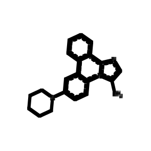 Bc1cnc2c3ccccc3c3cc(N4CCCCC4)ccc3n12